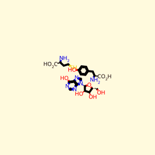 N[C@@H](CCS)C(=O)O.N[C@@H](Cc1ccc(O)cc1)C(=O)O.OC[C@H]1O[C@@H](n2cnc3c(O)ncnc32)[C@H](O)[C@@H]1O